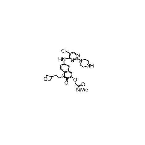 CNC(=O)COc1cc2cc(Nc3nc(N4CCNCC4)ncc3Cl)ccc2n(CCC2COC2)c1=O